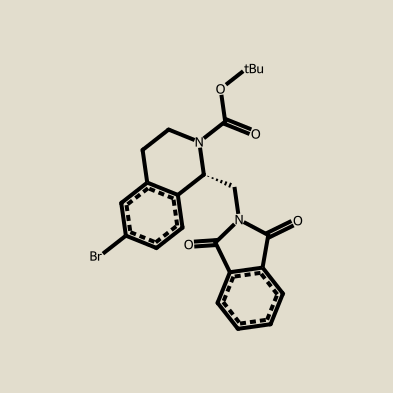 CC(C)(C)OC(=O)N1CCc2cc(Br)ccc2[C@H]1CN1C(=O)c2ccccc2C1=O